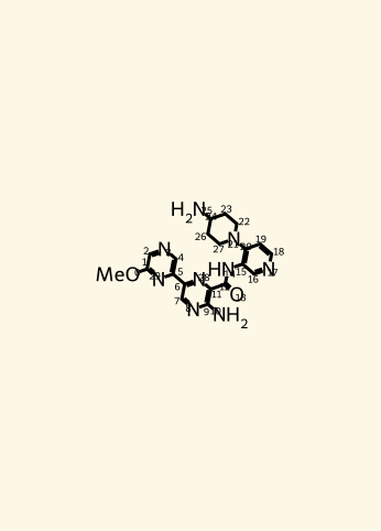 COc1cncc(-c2cnc(N)c(C(=O)Nc3cnccc3N3CCC(N)CC3)n2)n1